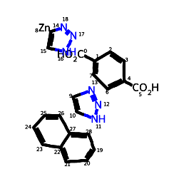 O=C(O)c1ccc(C(=O)O)cc1.[Zn].c1c[nH]nn1.c1c[nH]nn1.c1ccc2ccccc2c1